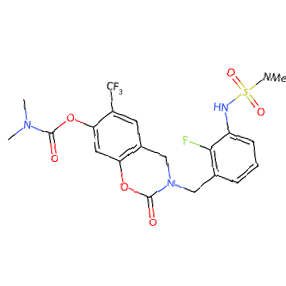 CNS(=O)(=O)Nc1cccc(CN2Cc3cc(C(F)(F)F)c(OC(=O)N(C)C)cc3OC2=O)c1F